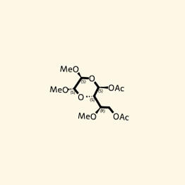 CO[C@H]1O[C@@H](OC(C)=O)[C@H]([C@@H](COC(C)=O)OC)O[C@@H]1OC